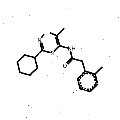 C/N=C(\SC(NC(=O)Cc1ccccc1C)=C(C)C)C1CCCCC1